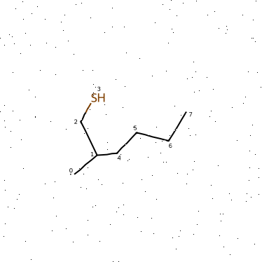 [CH2]C(CS)CCCC